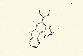 CCN(CC)c1ccc2c(c1)[CH]c1ccccc1-2.[Cl][Zr][Cl]